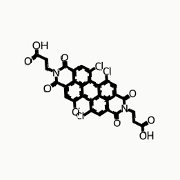 O=C(O)CCN1C(=O)c2cc(Cl)c3c4c(Cl)cc5c6c(cc(Cl)c(c7c(Cl)cc(c2c37)C1=O)c64)C(=O)N(CCC(=O)O)C5=O